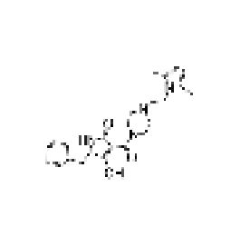 Cc1ccc(C)n1CCN1CCN(C(=O)C2=C(O)C(Cc3ccccc3)NC2=O)CC1